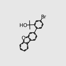 CC(C)(O)c1cc(Br)ccc1-c1ccc2c(c1)oc1ccccc12